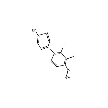 CCCOc1ccc(-c2ccc(Br)cc2)c(F)c1F